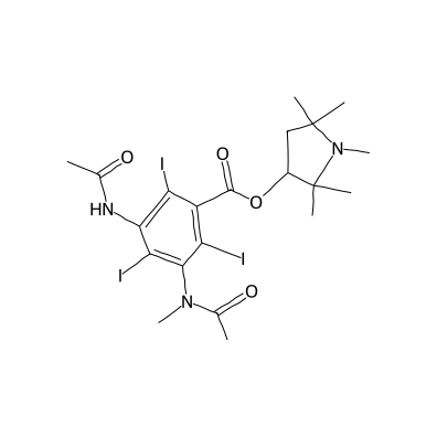 CC(=O)Nc1c(I)c(C(=O)OC2CC(C)(C)N(C)C2(C)C)c(I)c(N(C)C(C)=O)c1I